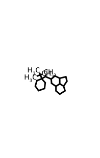 CC(C1CC2CCCC3CCC(C1)C32)C1(C(C)(C)C)CCCCC1